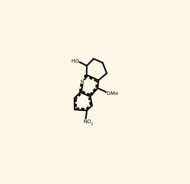 COc1c2c(nc3ccc([N+](=O)[O-])cc13)C(O)CCC2